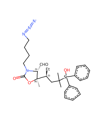 CC[C@@H](CC(C)(C)[Si](O)(c1ccccc1)c1ccccc1)[C@@]1(C)OC(=O)N(CCCCN=[N+]=[N-])[C@@H]1C=O